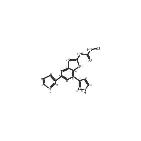 CCNC(=O)Nc1nc2cc(-c3cccnc3)cc(-c3cc[nH]n3)c2s1